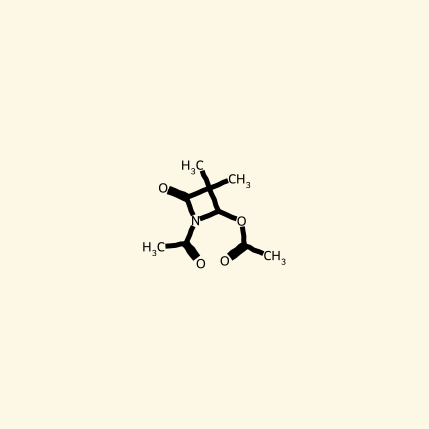 CC(=O)OC1N(C(C)=O)C(=O)C1(C)C